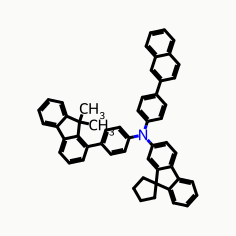 CC1(C)c2ccccc2-c2cccc(-c3ccc(N(c4ccc(-c5ccc6ccccc6c5)cc4)c4ccc5c(c4)C4(CCCC4)c4ccccc4-5)cc3)c21